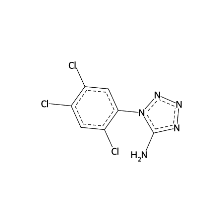 Nc1nnnn1-c1cc(Cl)c(Cl)cc1Cl